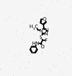 CCn1c(SC(F)C(=O)Nc2ccccc2)nnc1-c1ccoc1